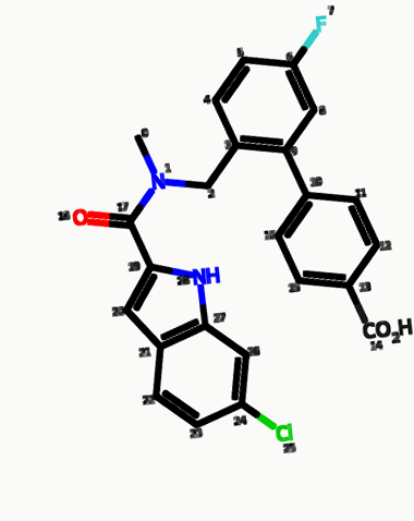 CN(Cc1ccc(F)cc1-c1ccc(C(=O)O)cc1)C(=O)c1cc2ccc(Cl)cc2[nH]1